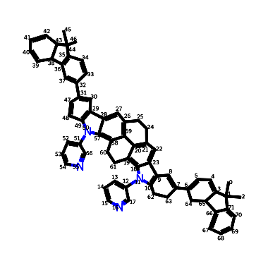 CC1(C)C2=CC=C(C3=Cc4c(n(-c5cccnc5)c5c6c7c(cc45)CCc4cc5c8cc(-c9ccc%10c(c9)C9C=CC=CC9C%10(C)C)ccc8n(-c8cccnc8)c5c(c4-7)CC6)CC3)CC2c2ccccc21